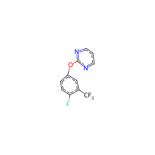 Fc1ccc(Oc2ncccn2)cc1C(F)(F)F